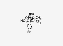 CC(C)(C)[S+]([O-])N[C@@](CC(C)(C)C(F)(F)F)(C(=O)O)c1ccc(Br)cc1